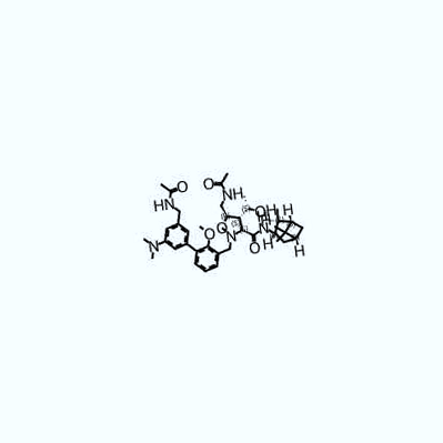 COc1c(CN2O[C@@H](CNC(C)=O)[C@H]([C@H](C)O)[C@H]2C(=O)N[C@H]2C[C@H]3C[C@@H]([C@@H]2C)C3(C)C)cccc1-c1cc(CNC(C)=O)cc(N(C)C)c1